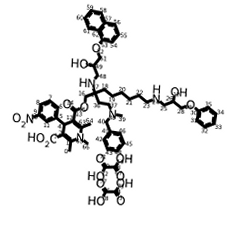 CC1=C(C(=O)O)C(c2cccc([N+](=O)[O-])c2)C(C(=O)OCC(CCCCCCNCC(O)COc2ccccc2)(CCN(C)Cc2ccccc2)NCC(O)COc2cccc3ccccc23)=C(C)N1C.O=C(O)C(=O)O.O=C(O)C(=O)O